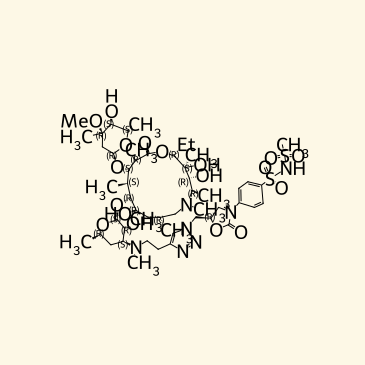 CC[C@H]1OC(=O)[C@H](C)[C@@H](O[C@H]2C[C@@](C)(OC)[C@@H](O)[C@H](C)O2)[C@H](C)[C@@H](O[C@@H]2O[C@H](C)C[C@H](N(C)CCc3cn(C[C@H]4CN(c5ccc(S(=O)(=O)NS(C)(=O)=O)cc5)C(=O)O4)nn3)[C@H]2O)[C@](C)(O)C[C@@H](C)CN(C)[C@H](C)[C@@H](O)[C@]1(C)O